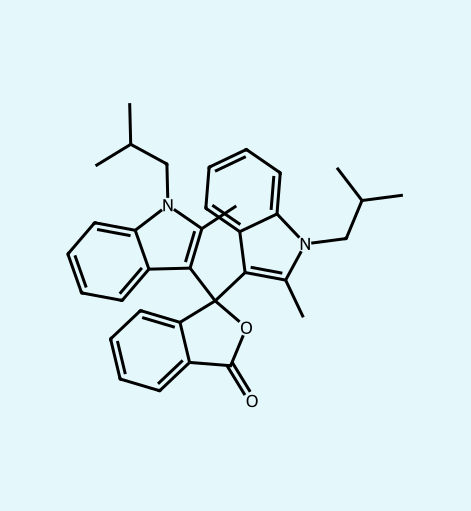 Cc1c(C2(c3c(C)n(CC(C)C)c4ccccc34)OC(=O)c3ccccc32)c2ccccc2n1CC(C)C